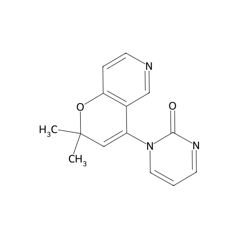 CC1(C)C=C(n2cccnc2=O)c2cnccc2O1